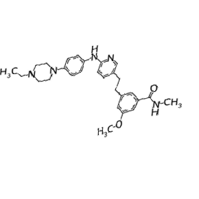 CCN1CCN(c2ccc(Nc3ccc(CCc4cc(OC)cc(C(=O)NC)c4)cn3)cc2)CC1